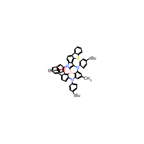 Cc1cc2c3c(c1)N(c1ccc(C(C)(C)C)cc1)c1c(n(-c4ccc(C(C)(C)C)cc4)c4ccc5c6ccccc6sc5c14)B3c1c(ccc3c1oc1ccccc13)N2c1ccc(C(C)(C)C)cc1